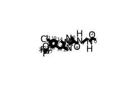 CC(=O)NCCNC(=O)c1cnn2c(C)c(Cc3ccc(Cl)c(OC(F)(F)F)c3)cnc12